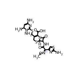 CO/N=C(\C(=O)NC1C(=O)N2C(C(=O)O)=C(CSC3=NC(N)=CC(N)N3N)CS[C@@H]12)c1csc(N)n1